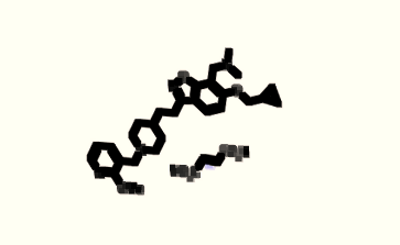 COc1ncccc1CN1CCC(CCc2noc3c(CN(C)C)c(OCC4CC4)ccc23)CC1.O=C(O)/C=C/C(=O)O